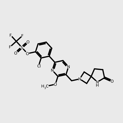 COc1nc(-c2cccc(OS(=O)(=O)C(F)(F)F)c2Cl)cnc1CN1CC2(CCC(=O)N2)C1